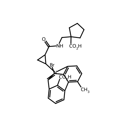 Cc1ccc2c3c(Br)c(n2C2CC2C(=O)NCC2(C(=O)O)CCCC2)-c2cccc(c2C(=O)O)-c13